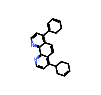 C1=CCCC(c2ccnc3c2ccc2c(C4CC=CCC4)ccnc23)=C1